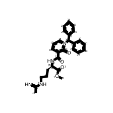 COC(=O)[C@@H](CCCNC(C)=N)NC(=O)c1cccn(C(c2ccccc2)c2ccccc2)c1=O